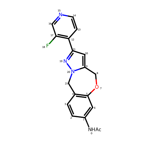 CC(=O)Nc1ccc2c(c1)OCc1cc(-c3ccncc3F)nn1C2